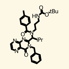 Cc1ccc(C(=O)N(CCCNC(=O)OC(C)(C)C)C(c2nc3nccnc3c(=O)n2Cc2ccccc2)C(C)C)cc1